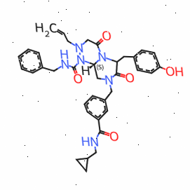 C=CCN1CC(=O)N2C(Cc3ccc(O)cc3)C(=O)N(Cc3cccc(C(=O)NCC4CC4)c3)C[C@@H]2N1C(=O)NCc1ccccc1